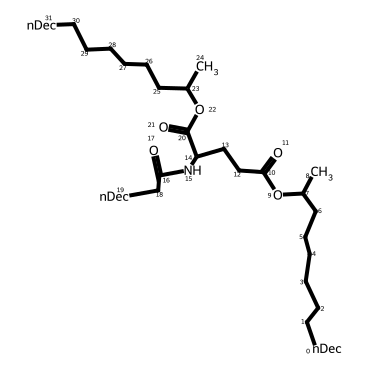 CCCCCCCCCCCCCCCCC(C)OC(=O)CCC(NC(=O)CCCCCCCCCCC)C(=O)OC(C)CCCCCCCCCCCCCCCC